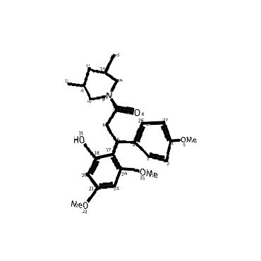 COc1ccc(C(CC(=O)N2CC(C)CC(C)C2)c2c(O)cc(OC)cc2OC)cc1